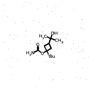 CC(C)(O)C1CC(OC(N)=O)(C(C)(C)C)C1